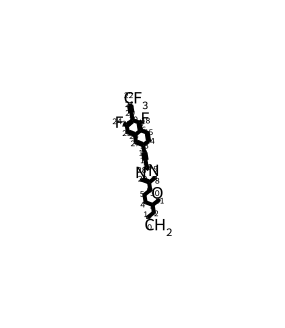 C=CCC1CCC(c2cnc(C#Cc3ccc4c(F)c(C#CC(F)(F)F)c(F)cc4c3)nc2)OC1